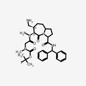 CN(CC(=O)N(N)[C@@H]1C(=O)N2C(CCC2C(=O)NC(c2ccccc2)c2ccccc2)CC[C@@H]1CN)C(=O)OC(C)(C)I